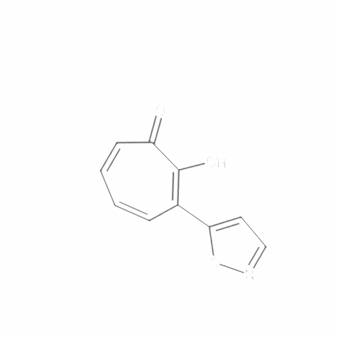 O=c1ccccc(-c2ccns2)c1O